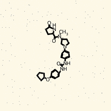 CN(C(=O)C1CCC(=O)N1)[C@@H]1CCN(c2ccc(NC(=O)Nc3ccc(OC4CCCC4)cc3)cc2)C1